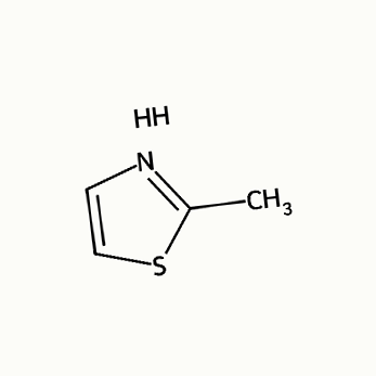 Cc1nccs1.[HH]